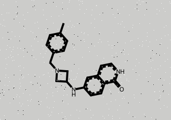 Cc1ccc(CN2CC(Nc3ccc4c(=O)[nH]ccc4c3)C2)cc1